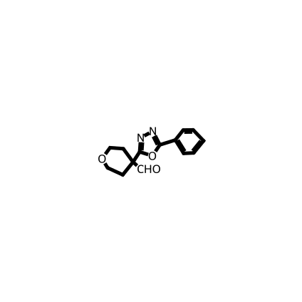 O=CC1(c2nnc(-c3ccccc3)o2)CCOCC1